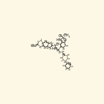 CC(C)(C)[C@H]1CCc2nc3sc(C(=O)N[C@H](CCN4CCC(c5ccccn5)CC4)c4cccc(NS(C)(=O)=O)c4)cc3cc2C1